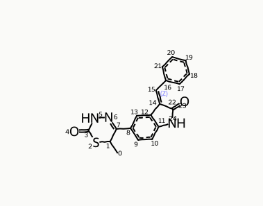 CC1SC(=O)NN=C1c1ccc2c(c1)/C(=C/c1ccccc1)C(=O)N2